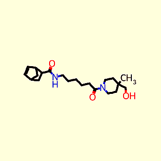 CC1(CO)CCN(C(=O)CCCCCNC(=O)C2CC3C=CC2C3)CC1